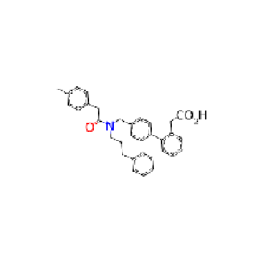 Cc1ccc(CC(=O)N(CCCc2ccccc2)Cc2ccc(-c3ccccc3CC(=O)O)cc2)cc1